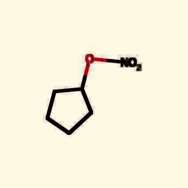 O=[N+]([O-])OC1CCCC1